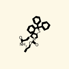 C=CCOC(=O)N1C[C@@H](SC(c2ccccc2)(c2ccccc2)c2ccccc2)C[C@H]1/C=C/C(N)=O